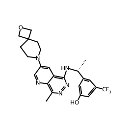 Cc1nnc(N[C@H](C)c2cc(O)cc(C(F)(F)F)c2)c2cc(N3CCC4(CC3)COC4)cnc12